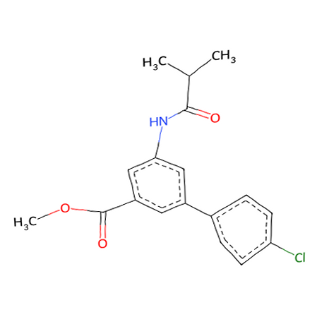 COC(=O)c1cc(NC(=O)C(C)C)cc(-c2ccc(Cl)cc2)c1